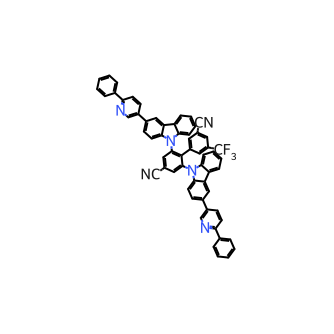 N#Cc1cc(-c2c(-n3c4ccccc4c4cc(-c5ccc(-c6ccccc6)nc5)ccc43)cc(C#N)cc2-n2c3ccccc3c3cc(-c4ccc(-c5ccccc5)nc4)ccc32)cc(C(F)(F)F)c1